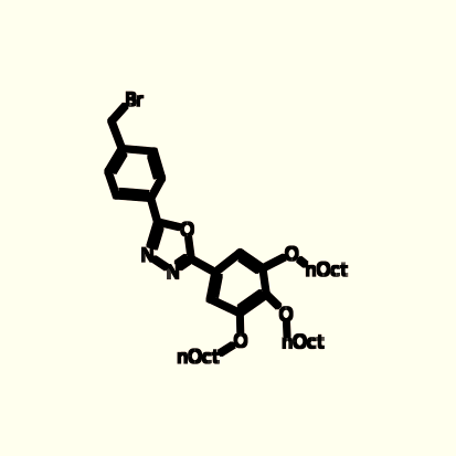 CCCCCCCCOc1cc(-c2nnc(-c3ccc(CBr)cc3)o2)cc(OCCCCCCCC)c1OCCCCCCCC